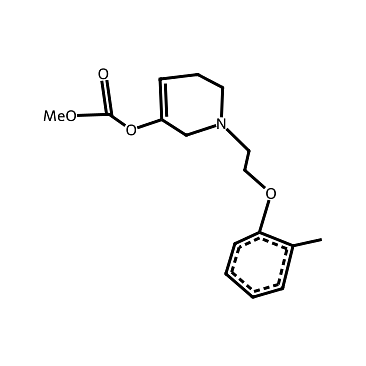 COC(=O)OC1=CCCN(CCOc2ccccc2C)C1